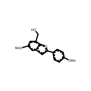 COc1ccc(-c2cc3cc(OC)cc(CO)c3o2)cc1